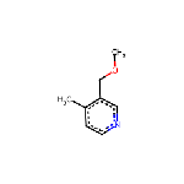 COCc1cnccc1C